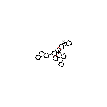 c1ccc(-c2ccccc2-c2c(-c3ccccc3)cccc2N(c2ccc(-c3ccc4c(ccc5ccccc54)c3)cc2)c2ccc3sc4ccccc4c3c2)cc1